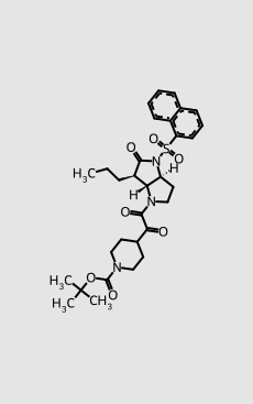 CCC[C@H]1C(=O)N(S(=O)(=O)c2cccc3ccccc23)[C@H]2CCN(C(=O)C(=O)C3CCN(C(=O)OC(C)(C)C)CC3)[C@H]12